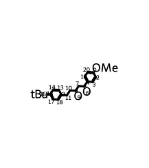 COc1ccc(C(=O)CC(=O)CCc2ccc(C(C)(C)C)cc2)cc1